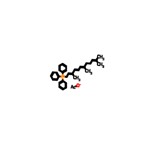 CC(=O)[O-].CC(C)=CCC/C(C)=C/C=C/C(C)=C/C[P+](c1ccccc1)(c1ccccc1)c1ccccc1